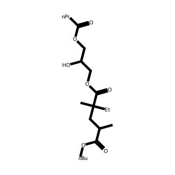 CCCCOC(=O)C(C)CC(C)(CC)C(=O)OCC(O)COC(=O)CCC